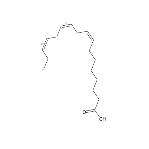 CC/C=C\C/C=C\C/C=C\CCCCCCC(=O)O